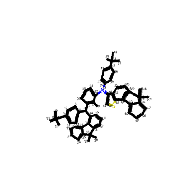 Cc1c(C(c2ccc(C(C)(C)C)cc2)c2cccc3c2-c2ccccc2C3(C)C)cccc1N(c1ccc(C(C)(C)C)cc1)c1csc2c3c(ccc12)C(C)(C)c1ccccc1-3